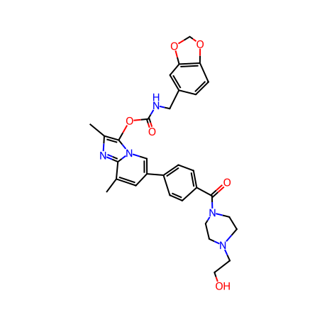 Cc1nc2c(C)cc(-c3ccc(C(=O)N4CCN(CCO)CC4)cc3)cn2c1OC(=O)NCc1ccc2c(c1)OCO2